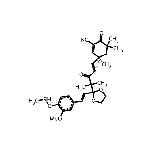 COc1cc(/C=C/C2(C(C)(C)C(=O)/C=C/[C@@]3(C)C=C(C#N)C(=O)C(C)(C)C3)OCCO2)ccc1O[SiH2]C